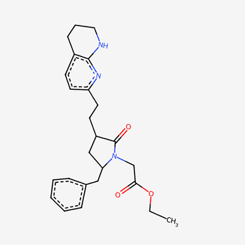 CCOC(=O)CN1C(=O)C(CCc2ccc3c(n2)NCCC3)CC1Cc1ccccc1